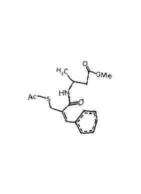 COC(=O)CC(C)NC(=O)C(=Cc1ccccc1)CSC(C)=O